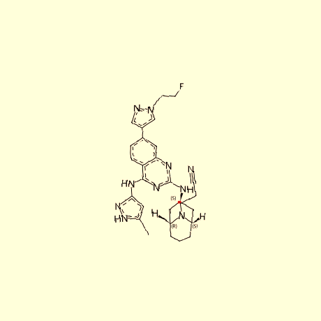 Cc1cc(Nc2nc(N[C@@H]3C[C@H]4CCC[C@@H](C3)N4CCC#N)nc3cc(-c4cnn(CCF)c4)ccc23)n[nH]1